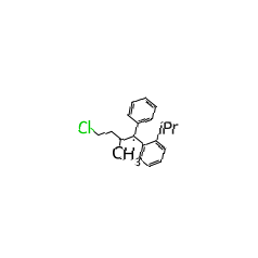 CC(CCCl)[C](c1ccccc1)c1ccccc1C(C)C